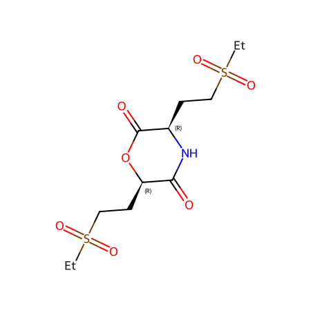 CCS(=O)(=O)CC[C@H]1NC(=O)[C@@H](CCS(=O)(=O)CC)OC1=O